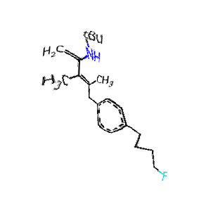 C=C(NC(C)(C)C)/C(C)=C(\C)Cc1ccc(CCCCF)cc1